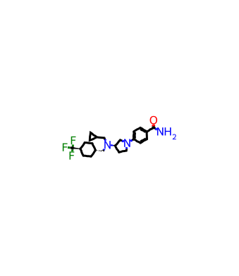 NC(=O)c1ccc(N2CC[C@@H](N(CC3CC3)C[C@H]3CC[C@H](C(F)(F)F)CC3)C2)cc1